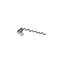 CCCCCCCCCCCCCC1CC23COC(=O)C1(C2)C3